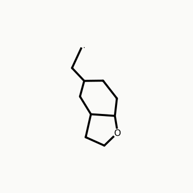 [CH2]CC1CCC2OCCC2C1